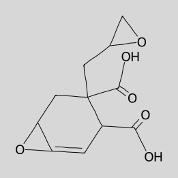 O=C(O)C1C=C2OC2CC1(CC1CO1)C(=O)O